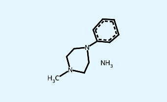 CN1CCN(c2ccccc2)CC1.N